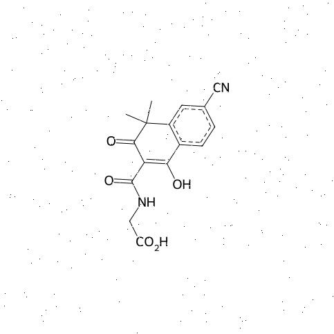 CC1(C)C(=O)C(C(=O)NCC(=O)O)=C(O)c2ccc(C#N)cc21